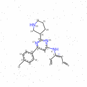 C=C/C=C(\C=C)Nc1cc(-c2ccc(C)cc2)nc(C2CCCNC2)n1